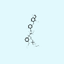 CCOC(=O)CCc1cccc(C(C)(CCCC(C)(C)CS(=O)(=O)CCO)c2nc(-c3cc(Cc4c(F)cc5[nH]ccc5c4Br)ccc3F)n(C)n2)c1